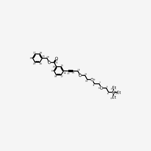 CC[N+](CC)(CC)CCOCCOCCOCC#Cc1cccc(C(=O)OCc2ccccc2)c1